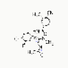 C=N/C(=C\N=C(/C)Cl)[C@@H](NC(=O)c1ccc(C#N)c(C)c1)c1ccc(Cl)c(F)c1